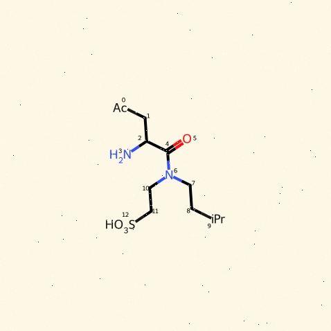 CC(=O)CC(N)C(=O)N(CCC(C)C)CCS(=O)(=O)O